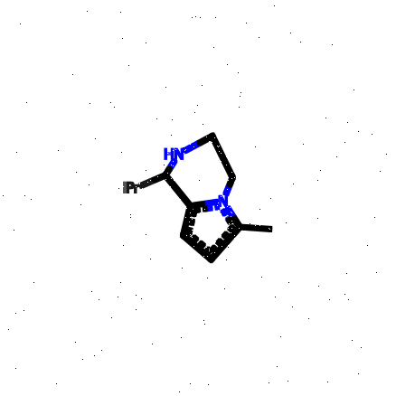 Cc1ccc2n1CCNC2C(C)C